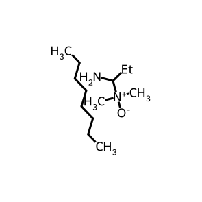 CCC(N)[N+](C)(C)[O-].CCCCCCCC